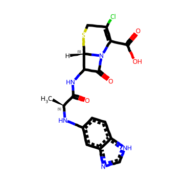 C[C@H](Nc1ccc2[nH]cnc2c1)C(=O)NC1C(=O)N2C(C(=O)O)=C(Cl)CS[C@@H]12